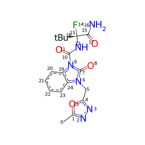 Cc1nnc(Cn2c(=O)n(C(=O)N[C@](F)(C(N)=O)C(C)(C)C)c3ccccc32)o1